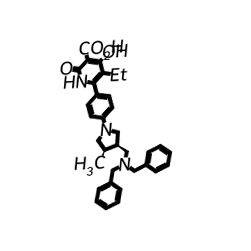 CCc1c(-c2ccc(N3C[C@@H](CN(Cc4ccccc4)Cc4ccccc4)[C@H](C)C3)cc2)[nH]c(=O)c(C(=O)O)c1O